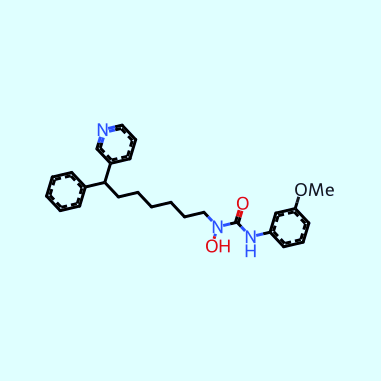 COc1cccc(NC(=O)N(O)CCCCCCC(c2ccccc2)c2cccnc2)c1